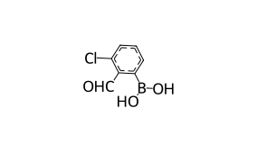 O=Cc1c(Cl)cccc1B(O)O